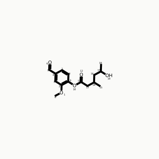 COc1cc(C=O)ccc1OC(=O)CC(C)CC(C)O